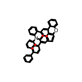 c1ccc(-c2ccc(-c3ccccc3N(c3ccccc3)c3ccccc3-c3cc4c5c(cccc5c3)Oc3ccccc3-4)cc2)cc1